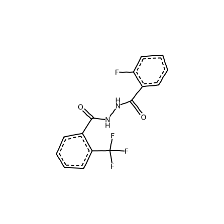 O=C(NNC(=O)c1ccccc1C(F)(F)F)c1ccccc1F